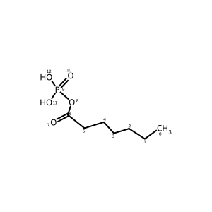 CCCCCCC(=O)OP(=O)(O)O